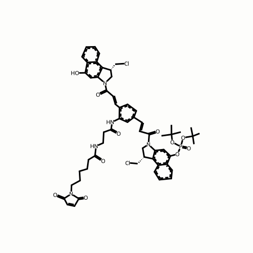 CC(C)(C)OP(=O)(Oc1cc2c(c3ccccc13)[C@H](CCl)CN2C(=O)/C=C/c1ccc(/C=C/C(=O)N2C[C@@H](CCl)c3c2cc(O)c2ccccc32)c(NC(=O)CCNC(=O)CCCCCN2C(=O)C=CC2=O)c1)OC(C)(C)C